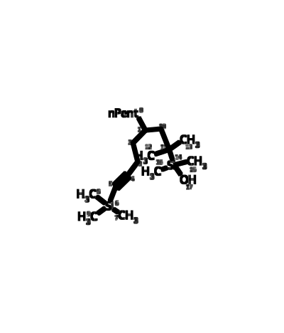 CCCCCC(CCC#C[Si](C)(C)C)CC(C)(C)[Si](C)(C)O